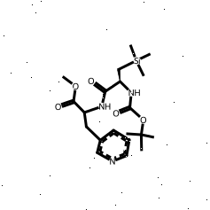 COC(=O)C(Cc1cccnc1)NC(=O)[C@@H](C[Si](C)(C)C)NC(=O)OC(C)(C)C